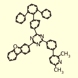 Cc1ccc(-c2cccc(-c3nc(-c4ccc(-c5c(-c6ccccc6)cccc5-c5ccccc5)cc4)nc(-c4ccc5c(c4)oc4ccccc45)n3)c2)c(C)n1